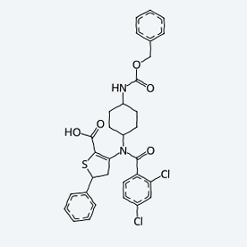 O=C(NC1CCC(N(C(=O)c2ccc(Cl)cc2Cl)C2=C(C(=O)O)SC(c3ccccc3)C2)CC1)OCc1ccccc1